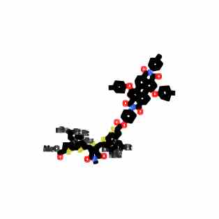 CCCCC(CC)C[Si]1(CC(CC)CCCC)c2cc(C(=O)OC)sc2-c2sc(-c3sc(-c4cc5c(s4)-c4sc(C(=O)Oc6ccc(N7C(=O)c8ccc9c%10c(Oc%11ccc(C)cc%11)cc%11c%12c(ccc(c%13c(Oc%14ccc(C)cc%14)cc(c8c9%13)C7=O)c%12%10)C(=O)N(c7ccc(C)cc7)C%11=O)cc6)cc4[Si]5(CC(CC)CCCC)CC(CC)CCCC)c4c3C(=O)N(C)C4=O)cc21